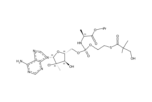 CC(C)OC(=O)[C@H](C)NP(=O)(OCCSC(=O)C(C)(C)CO)OC[C@H]1O[C@@H](n2cnc3c(N)ncnc32)[C@](C)(Cl)[C@@H]1O